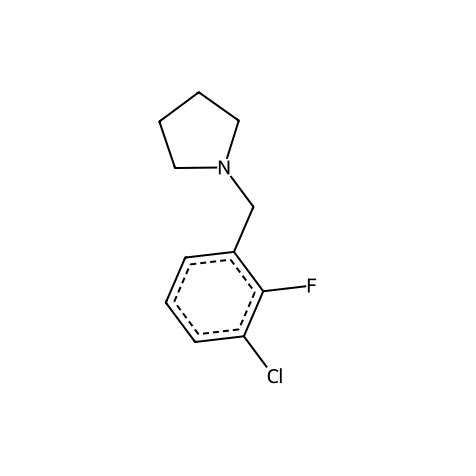 Fc1c(Cl)cccc1CN1CCCC1